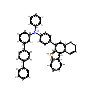 C1=Cc2c(cc(-c3ccc(N(c4ccccc4)c4cccc(-c5ccc(-c6ccccc6)cc5)c4)cc3)c3sc4ccccc4c23)CC1